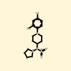 O=[SH](=O)N(C1CCN(c2ccc(Cl)cc2Cl)CC1)N1CCCC1